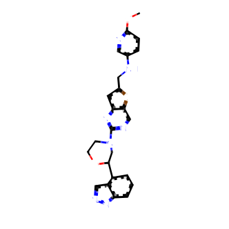 COc1ccc(NCc2cc3nc(N4CCOC(c5cccc6[nH]ncc56)C4)ncc3s2)cn1